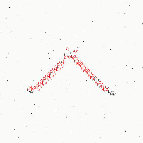 O.O.O.O.O.O.O.O.O.O.O.O.O.O.O.O.O.O.O.O.O.O.O.O.O.O.O.O.O.O.[Na+].[Na+].[Na+].[O-]B([O-])[O-]